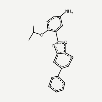 CC(C)Oc1ccc(N)cc1-c1nc2cc(-c3ccccc3)ccc2o1